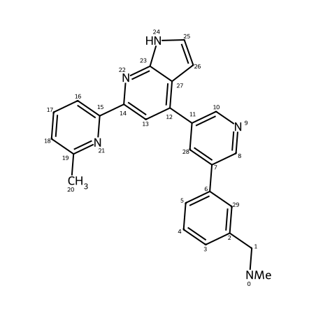 CNCc1cccc(-c2cncc(-c3cc(-c4cccc(C)n4)nc4[nH]ccc34)c2)c1